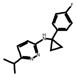 CC(C)c1ccc(NC2(c3ccc(F)cc3)CC2)nn1